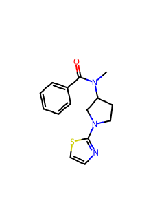 CN(C(=O)c1ccccc1)C1CCN(c2nccs2)C1